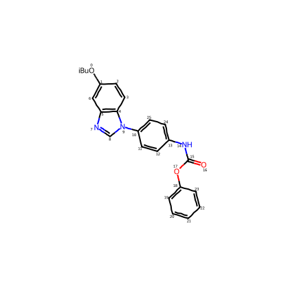 CC(C)COc1ccc2c(c1)ncn2-c1ccc(NC(=O)Oc2ccccc2)cc1